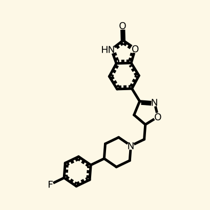 O=c1[nH]c2ccc(C3=NOC(CN4CCC(c5ccc(F)cc5)CC4)C3)cc2o1